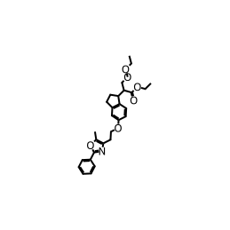 CCOOCC(C(=O)OCC)C1CCc2cc(OCCc3nc(-c4ccccc4)oc3C)ccc21